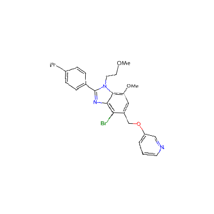 COCCn1c(-c2ccc(C(C)C)cc2)nc2c(Br)c(COc3cccnc3)cc(OC)c21